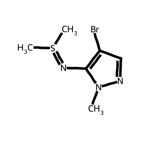 Cn1ncc(Br)c1N=S(C)C